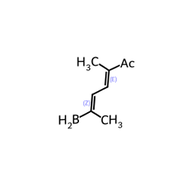 B/C(C)=C/C=C(\C)C(C)=O